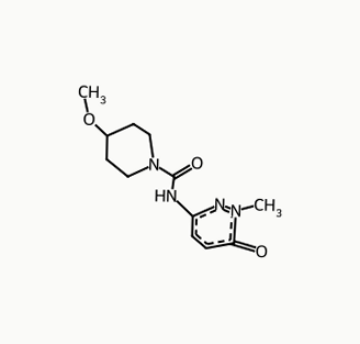 COC1CCN(C(=O)Nc2ccc(=O)n(C)n2)CC1